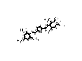 C=C/C(C)=C(/N=C/c1ccc(/C=N/c2c(C)cc(C)cc2C)o1)C(\C)=C/CC